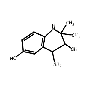 CC1(C)Nc2ccc(C#N)cc2C(N)C1O